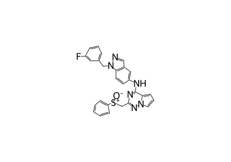 [O-][S+](Cc1nc(Nc2ccc3c(cnn3Cc3cccc(F)c3)c2)c2cccn2n1)c1ccccc1